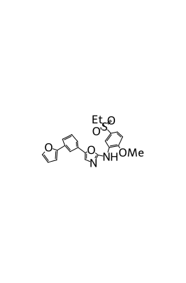 CCS(=O)(=O)c1ccc(OC)c(Nc2ncc(-c3cccc(-c4ccco4)c3)o2)c1